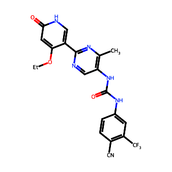 CCOc1cc(=O)[nH]cc1-c1ncc(NC(=O)Nc2ccc(C#N)c(C(F)(F)F)c2)c(C)n1